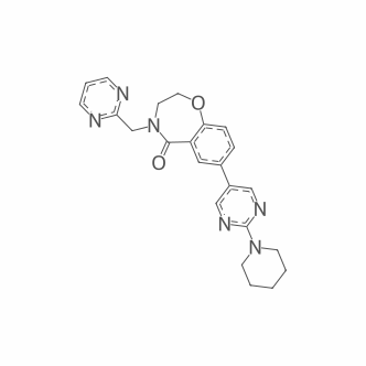 O=C1c2cc(-c3cnc(N4CCCCC4)nc3)ccc2OCCN1Cc1ncccn1